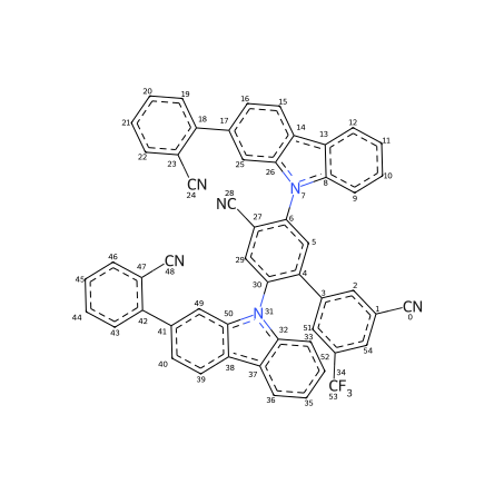 N#Cc1cc(-c2cc(-n3c4ccccc4c4ccc(-c5ccccc5C#N)cc43)c(C#N)cc2-n2c3ccccc3c3ccc(-c4ccccc4C#N)cc32)cc(C(F)(F)F)c1